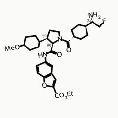 CCOC(=O)c1cc2cc(NC(=O)[C@H]3[C@@H](C4CCC(OC)CC4)CCN3C(=O)[C@H]3CC[C@H]([C@H](N)CF)CC3)ccc2o1